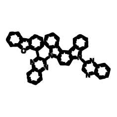 c1ccc2nc(-n3c4ccccc4c4c5c6ccccc6n(-c6nc7ccccc7nc6-c6cccc7c6oc6ccccc67)c5ccc43)cnc2c1